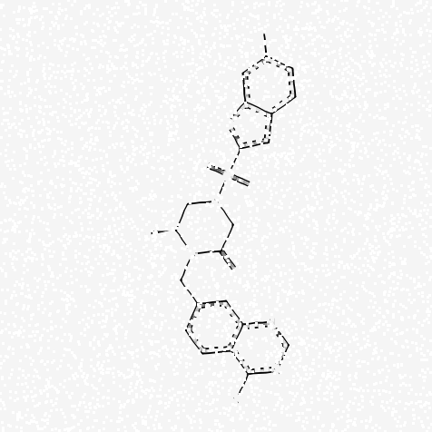 CC(C)[C@H]1CN(S(=O)(=O)c2cc3ccc(Cl)cc3s2)CC(=O)N1Cc1ccc2c(N)ncnc2c1